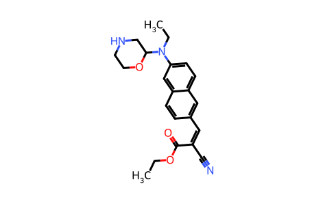 CCOC(=O)C(C#N)=Cc1ccc2cc(N(CC)C3CNCCO3)ccc2c1